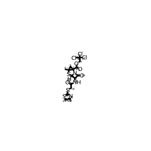 CC12CC1(C(=O)OCC(Cl)(Cl)Cl)N1C(=O)C(NC(=O)CSc3nncs3)[C@H]1S2